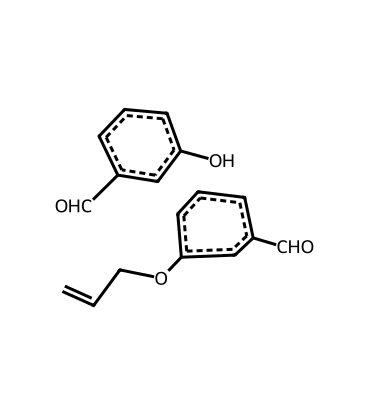 C=CCOc1cccc(C=O)c1.O=Cc1cccc(O)c1